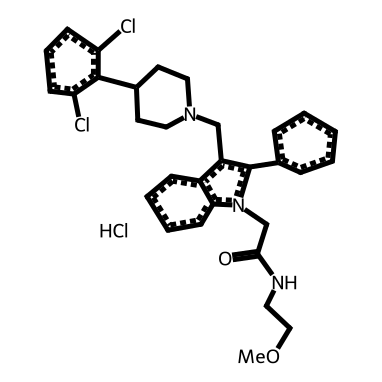 COCCNC(=O)Cn1c(-c2ccccc2)c(CN2CCC(c3c(Cl)cccc3Cl)CC2)c2ccccc21.Cl